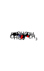 CCCC(CC[C@@H]1CC[C@@H]2[C@@H](/C=C/[C@@H](O)COc3ccc(F)c(Cl)c3)[C@H](O)C[C@@H]2OC1)C(=O)O